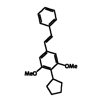 COc1cc(/C=C/c2ccccc2)cc(OC)c1C1CCCC1